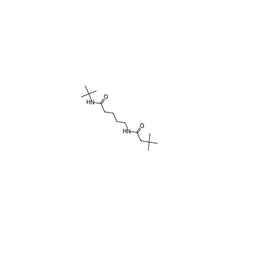 CC(C)(C)CC(=O)NCCCCC(=O)NC(C)(C)C